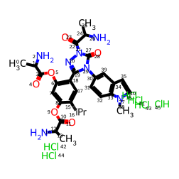 CC(N)C(=O)Oc1cc(OC(=O)C(C)N)c(C(C)C)cc1-c1nn(C(=O)C(C)N)c(=O)n1-c1ccc2c(ccn2C)c1.Cl.Cl.Cl.Cl.Cl.Cl